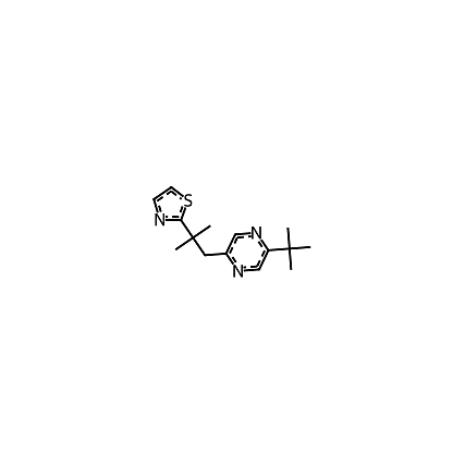 CC(C)(C)c1cnc(CC(C)(C)c2nccs2)cn1